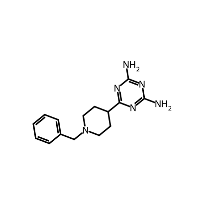 Nc1nc(N)nc(C2CCN(Cc3ccccc3)CC2)n1